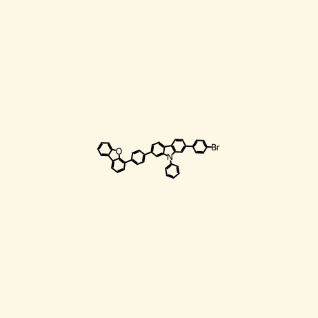 Brc1ccc(-c2ccc3c4ccc(-c5ccc(-c6cccc7c6oc6ccccc67)cc5)cc4n(-c4ccccc4)c3c2)cc1